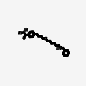 CCN(CC)C(=O)c1ccc(CCCCOCCCCCCNCc2ccccc2)cc1